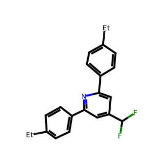 CCc1ccc(-c2cc(C(F)F)cc(-c3ccc(CC)cc3)n2)cc1